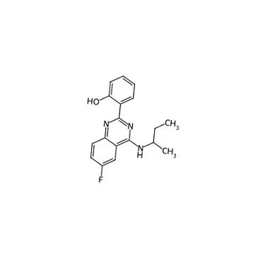 CCC(C)Nc1nc(-c2ccccc2O)nc2ccc(F)cc12